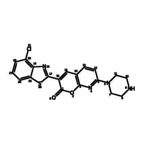 O=c1oc2nc(N3CCNCC3)ccc2cc1-c1nc2c(Cl)cccc2s1